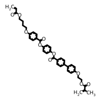 C=CC(=O)OCCCCOc1ccc(C(=O)Oc2ccc(OC(=O)c3ccc(-c4ccc(OCCOC(=O)C(=C)C)cc4)cc3)cc2)cc1